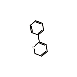 C1=CC[Te]C(c2ccccc2)=C1